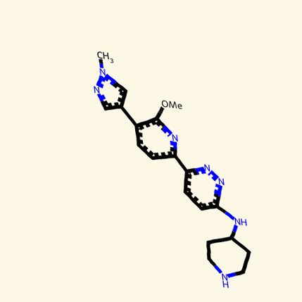 COc1nc(-c2ccc(NC3CCNCC3)nn2)ccc1-c1cnn(C)c1